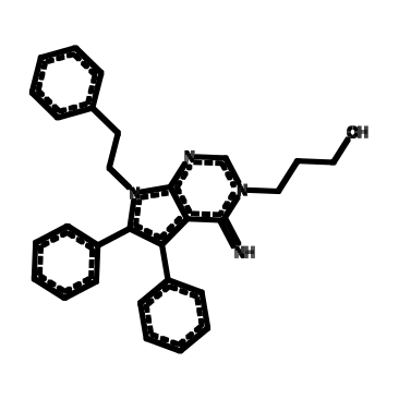 N=c1c2c(-c3ccccc3)c(-c3ccccc3)n(CCc3ccccc3)c2ncn1CCCO